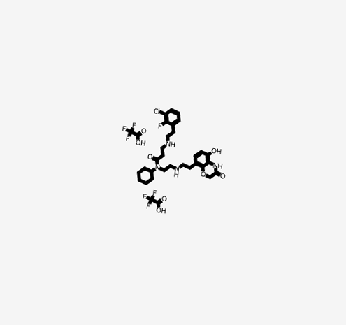 O=C(O)C(F)(F)F.O=C(O)C(F)(F)F.O=C1COc2c(CCNCCN(C(=O)CCNCCc3cccc(Cl)c3F)C3CCCCC3)ccc(O)c2N1